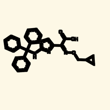 O=C(O)/C(=N\OCC1CC1)c1csc(NC(c2ccccc2)(c2ccccc2)c2ccccc2)n1